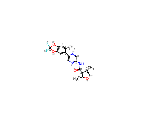 Cc1cc2c(cc1-c1cnc(NC(=O)c3c(C)coc3C)cn1)OC(F)(F)O2